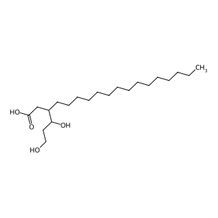 CCCCCCCCCCCCCCCC(CC(=O)O)C(O)CCO